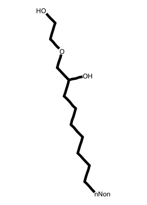 CCCCCCCCCCCCCCCCC(O)COCCO